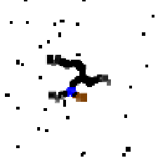 C=C/C=C\C(=C/C)CN(C)S